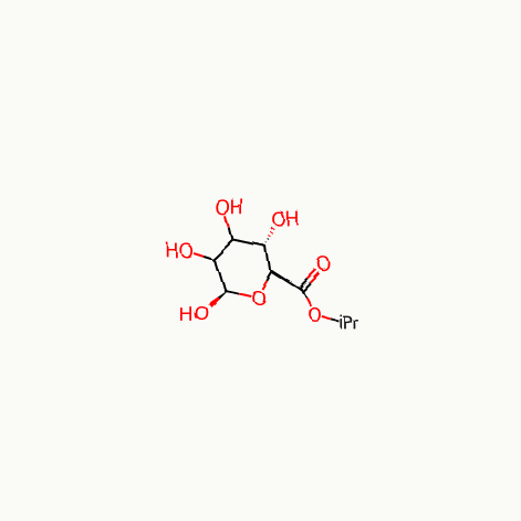 CC(C)OC(=O)C1O[C@@H](O)C(O)C(O)[C@@H]1O